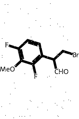 COc1c(F)ccc(C(C=O)CBr)c1F